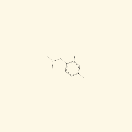 Cc1ccc(CP(C)C)c(C)c1